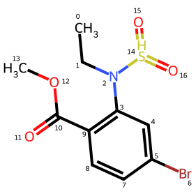 CCN(c1cc(Br)ccc1C(=O)OC)[SH](=O)=O